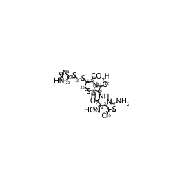 Nc1nc(/C(=N/O)C(=O)N[C@@H]2C(=O)N3C(C(=O)O)=C(SCSc4c[nH]nn4)CS[C@@H]23)c(Cl)s1